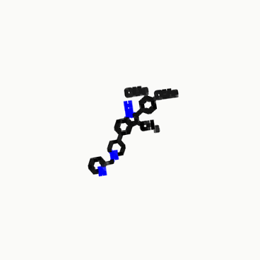 COc1ccc(-c2[nH]c3ccc(C4CCN(Cc5ccccn5)CC4)cc3c2C)cc1OC